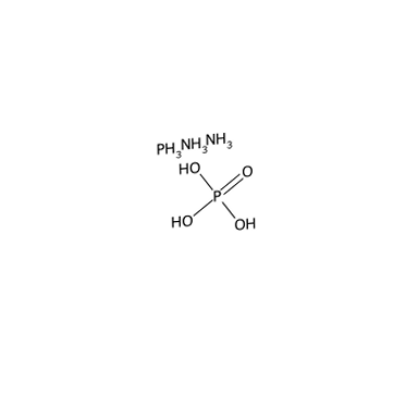 N.N.O=P(O)(O)O.P